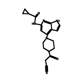 N#CCC(=O)N1CCN(c2cc(NC(=O)C3CC3)nc3[nH]ccc23)CC1